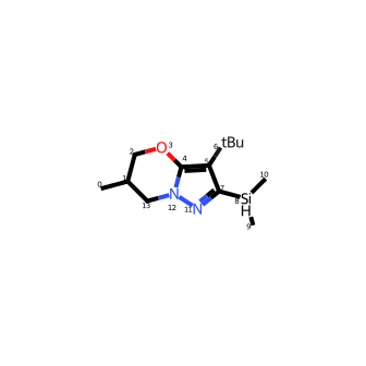 CC1COc2c(C(C)(C)C)c([SiH](C)C)nn2C1